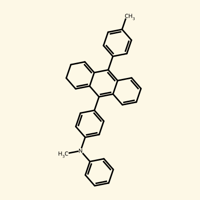 Cc1ccc(-c2c3c(c(-c4ccc(N(C)c5ccccc5)cc4)c4ccccc24)=CCCC=3)cc1